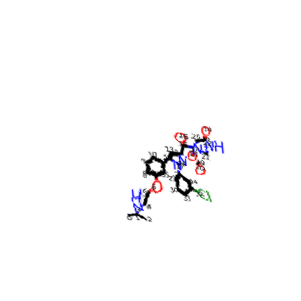 CC(C)NCCOc1cccc(-c2cc(C(=O)[N+]3(OC=O)CNC(=O)C3)nn2-c2cccc(Cl)c2)c1